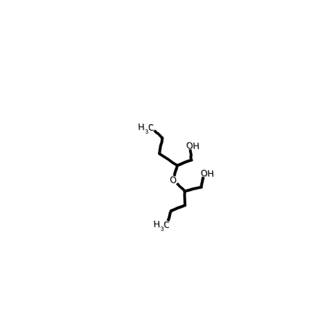 CCCC(CO)OC(CO)CCC